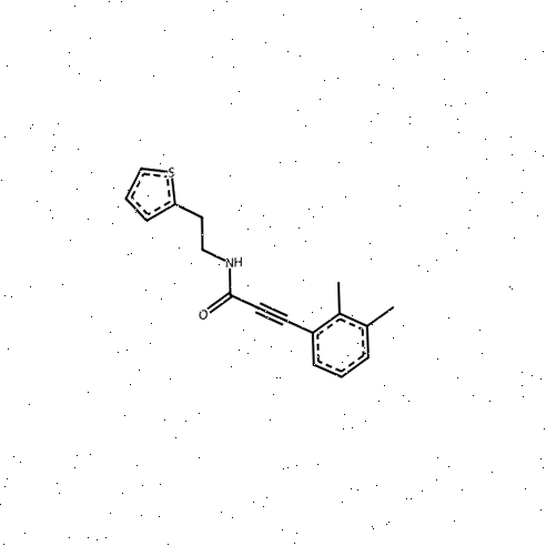 Cc1cccc(C#CC(=O)NCCc2cccs2)c1C